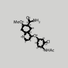 COc1cc2nccc(Oc3ccc(NC(C)=O)c(Cl)c3)c2cc1C(N)=O